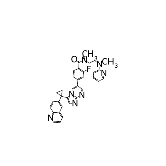 CN(CCN(C)c1ccccn1)C(=O)c1ccc(-c2cnc3ncc(C4(c5ccc6ncccc6c5)CC4)n3c2)cc1F